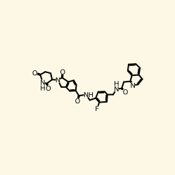 O=C(Cc1nccc2ccccc12)NCc1ccc(CNC(=O)c2ccc3c(c2)CN(C2CCC(=O)NC2=O)C3=O)c(F)c1